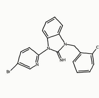 N=c1n(Cc2ccccc2Cl)c2ccccc2n1-c1ccc(Br)cn1